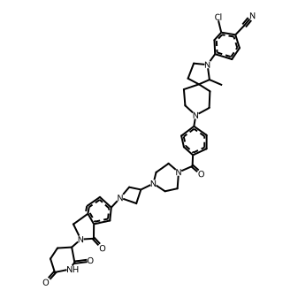 CC1N(c2ccc(C#N)c(Cl)c2)CCC12CCN(c1ccc(C(=O)N3CCN(C4CN(c5ccc6c(c5)C(=O)N(C5CCC(=O)NC5=O)C6)C4)CC3)cc1)CC2